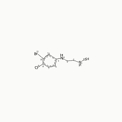 SNCCNc1ccc(Cl)c(Br)c1